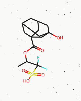 CC(OC(=O)C12CC3CC(CC(O)(C3)C1)C2)C(F)(F)S(=O)(=O)O